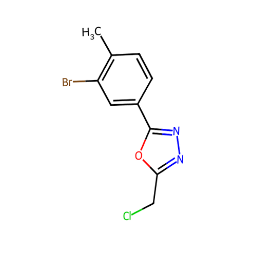 Cc1ccc(-c2nnc(CCl)o2)cc1Br